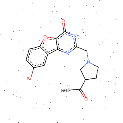 CNC(=O)C1CCN(Cc2nc3c(oc4ccc(Br)cc43)c(=O)[nH]2)C1